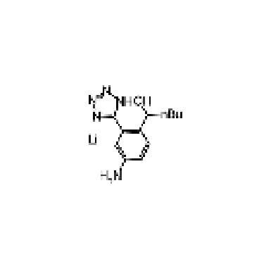 CCCCC(O)c1ccc(N)cc1-c1nnn[nH]1.[Li]